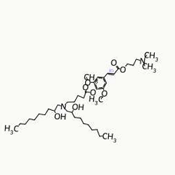 CCCCCCCCC(O)CN(CCCCC(=O)Oc1c(OC)cc(/C=C/C(=O)OCCCN(C)C)cc1OC)CC(O)CCCCCCCC